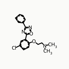 CN(C)CCOc1ccc(Cl)cc1-c1nc(-c2ccccc2)no1